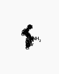 Nc1nc(O[C@H](c2ccc(Cl)cc2Br)C(F)(F)F)cc(N2CCC3(CC2)C[C@@H](C(=O)O)N(C(=O)OCc2ccccc2)C3)n1